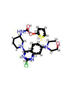 O=C(NC1CCCN(c2nc(Cl)nc3cc(N4CCOCC4)ccc23)C1)Oc1cccs1